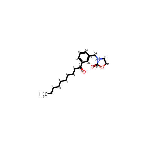 CCCCCCCCCC(=O)c1cccc(CN2CCOC2=O)c1